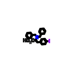 O=C(O)[C@H](Cc1ccc(I)cc1)N(Cc1ccccc1)Cc1ccccc1